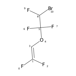 FC(F)=COC(F)(F)C(F)Br